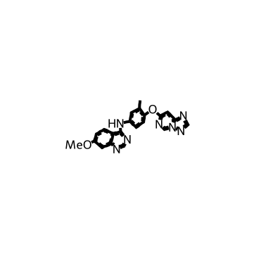 COc1ccc2c(Nc3ccc(Oc4cc5ncnn5cn4)c(C)c3)ncnc2c1